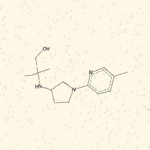 Cc1ccc(N2CCC(NC(C)(C)CO)C2)nc1